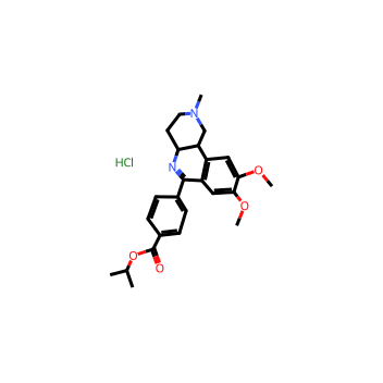 COc1cc2c(cc1OC)C1CN(C)CCC1N=C2c1ccc(C(=O)OC(C)C)cc1.Cl